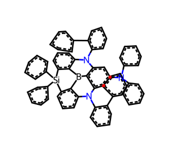 c1ccc(-c2ccccc2N2c3cc(N(c4ccccc4)c4ccccc4)cc4c3B3c5c2cccc5[Si](c2ccccc2)(c2ccccc2)c2cccc(c23)N4c2ccccc2-c2ccccc2)cc1